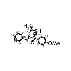 COc1ccc(S(=O)(=O)N(Cc2cccnc2)C[C@@H](C)S)cc1